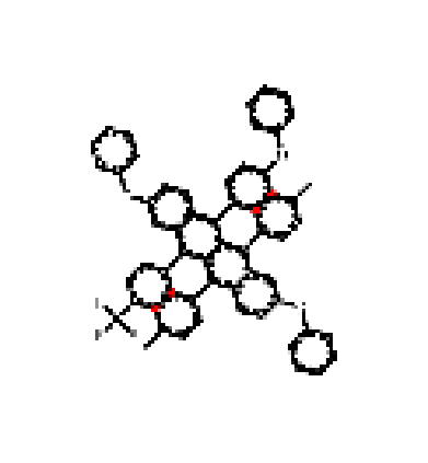 Cc1ccc(-c2c3ccc(Oc4ccccc4)cc3c(-c3ccc(C)cc3)c3c(-c4ccc(Oc5ccccc5)cc4)c4ccc(Oc5ccccc5)cc4c(-c4ccc(C(F)(F)F)cc4)c23)cc1